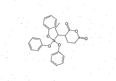 CCC(C1CCC(=O)OC1=O)[Si](Oc1ccccc1)(Oc1ccccc1)Oc1ccccc1